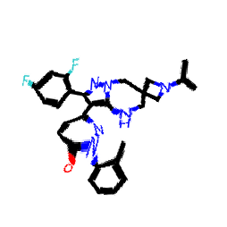 Cc1ccccc1-n1nc(-c2c(-c3ccc(F)cc3F)nn3c2NCC2(CN(C(C)C)C2)C3)ccc1=O